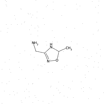 CC1NC(CN)=NO1